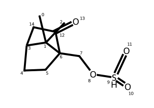 CC1(C)C2CCC1(CO[SH](=O)=O)C(=O)C2